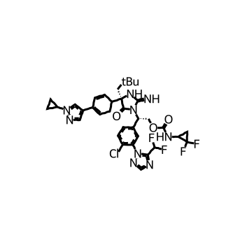 CC(C)(C)C[C@]1(C2C=CC(c3cnn(C4CC4)c3)=CC2)NC(=N)N([C@H](COC(=O)NC2CC2(F)F)c2ccc(Cl)c(-n3ncnc3C(F)F)c2)C1=O